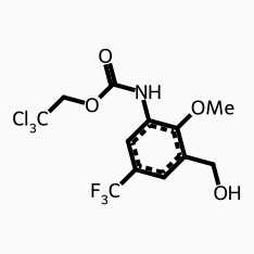 COc1c(CO)cc(C(F)(F)F)cc1NC(=O)OCC(Cl)(Cl)Cl